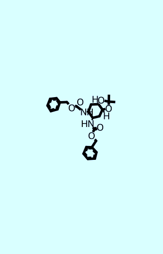 CC1(C)O[C@H]2C[C@H](NC(=O)OCc3ccccc3)[C@H](NC(=O)OCc3ccccc3)C[C@H]2O1